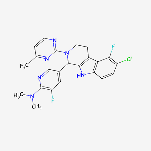 CN(C)c1ncc(C2c3[nH]c4ccc(Cl)c(F)c4c3CCN2c2nccc(C(F)(F)F)n2)cc1F